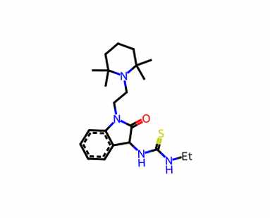 CCNC(=S)NC1C(=O)N(CCN2C(C)(C)CCCC2(C)C)c2ccccc21